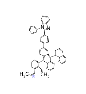 C=Cc1c(/C=C\C)cccc1-c1c2ccccc2c(-c2cccc3ccccc23)c2cc(-c3ccc(-c4nc5ccccc5n4-c4ccccc4)cc3)ccc12